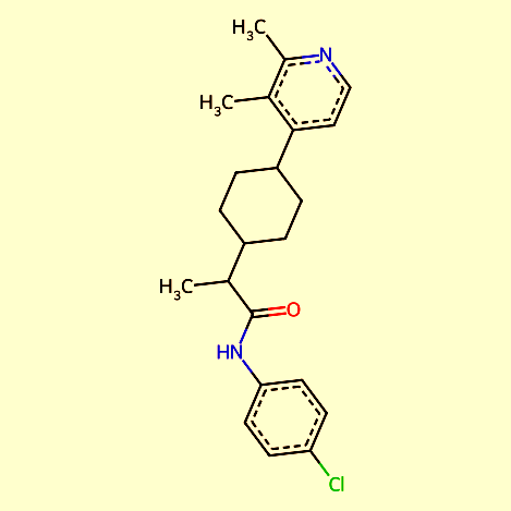 Cc1nccc(C2CCC(C(C)C(=O)Nc3ccc(Cl)cc3)CC2)c1C